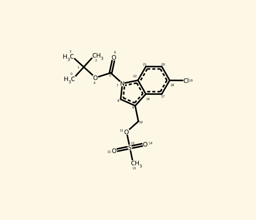 CC(C)(C)OC(=O)n1cc(COS(C)(=O)=O)c2cc(Cl)ccc21